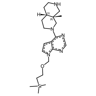 C[C@]12CNCC[C@H]1CCN(c1ncnc3c1ccn3COCC[Si](C)(C)C)C2